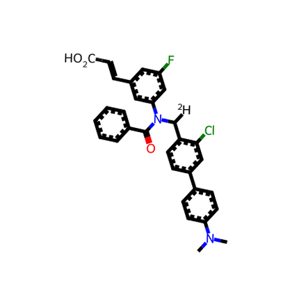 [2H]C(c1ccc(-c2ccc(N(C)C)cc2)cc1Cl)N(C(=O)c1ccccc1)c1cc(F)cc(/C=C/C(=O)O)c1